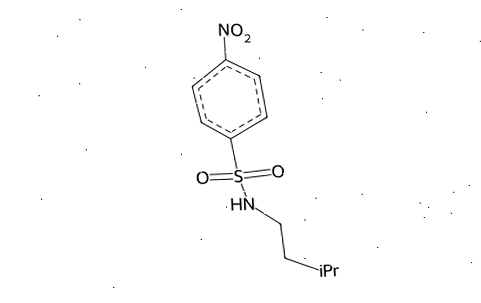 CC(C)CCNS(=O)(=O)c1ccc([N+](=O)[O-])cc1